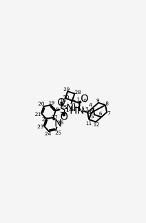 O=C(NC1C2CC3CC(C2)CC1C3)C1(NS(=O)(=O)c2cccc3cccnc23)CCC1